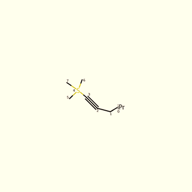 CC(C)CC#CS(C)(C)C